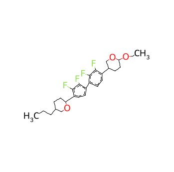 CCCC1CCC(c2ccc(-c3ccc(C4CCC(OCC)OC4)c(F)c3F)c(F)c2F)OC1